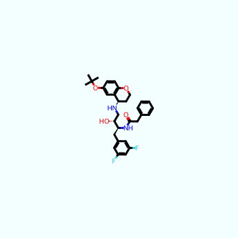 CC(C)(C)Oc1ccc2c(c1)[C@@H](NC[C@@H](O)[C@H](Cc1cc(F)cc(F)c1)NC(=O)Cc1ccccc1)CCO2